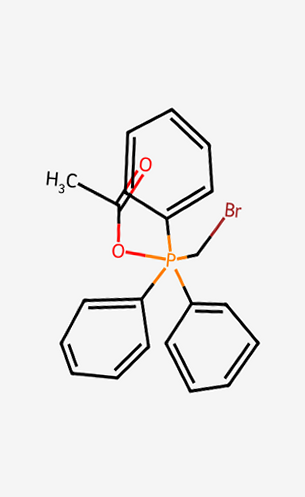 CC(=O)OP(CBr)(c1ccccc1)(c1ccccc1)c1ccccc1